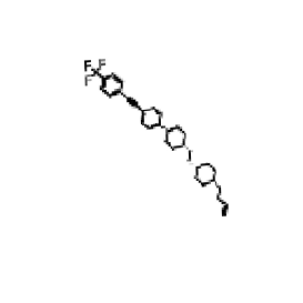 C=CCC[C@H]1CC[C@H](CC[C@H]2CC[C@H](c3ccc(C#Cc4ccc(C(F)(F)F)cc4)cc3)CC2)CC1